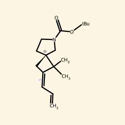 C=C/C=C1/C[C@]2(CCN(C(=O)OC(C)(C)C)C2)C1(C)C